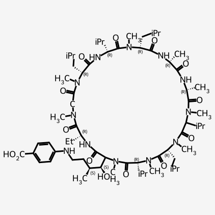 CC[C@H]1NC(=O)C([C@@H](O)[C@@H](C)CCNc2ccc(C(=O)O)cc2)N(C)C(=O)[C@@H](C(C)C)N(C)C(=O)[C@@H](CC(C)C)N(C)C(=O)C(C(C)C)N(C)C(=O)[C@@H](C)NC(=O)[C@@H](C)NC(=O)[C@@H](CC(C)C)N(C)C(=O)[C@@H](C(C)C)NC(=O)[C@@H](CC(C)C)N(C)C(=O)CN(C)C1=O